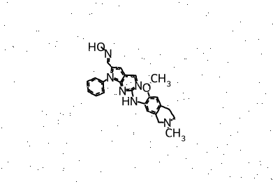 COc1cc2c(cc1Nc1ncc3cc(C=NO)n(-c4ccccc4)c3n1)CN(C)CC2